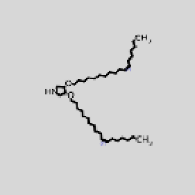 CCCCCC/C=C\CCCCCCCCCCOC1CNC[C@H]1OCCCCCCCCCC/C=C\CCCCCC